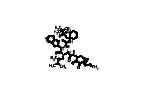 C=CCCC(=O)C(=O)C(CC1CC1)NC(=O)[C@H](I)N(C[C@@H](C)C(C)C)C(=O)[C@@H](NC(=O)NC1(CS(=O)(=O)C(C)(C)C)CCCCC1)C1Cc2ccccc2C1